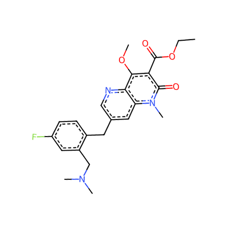 CCOC(=O)c1c(OC)c2ncc(Cc3ccc(F)cc3CN(C)C)cc2n(C)c1=O